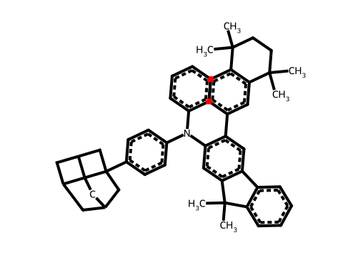 CC1(C)CCC(C)(C)c2cc(-c3cc4c(cc3N(c3ccccc3)c3ccc(C56CC7CC8CC(C5)C86C7)cc3)C(C)(C)c3ccccc3-4)ccc21